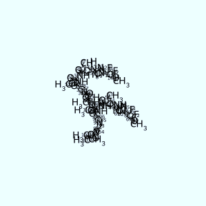 CCc1cc(Nc2nccn3c(-c4ccc(OC)c(F)c4F)cnc23)ccc1C(=O)NC[C@H](NC(=O)C1CCN(C(=O)OC(C)(C)C)CC1)C(=O)OC.CCc1cc(Nc2nccn3c(-c4ccc(OC)c(F)c4F)cnc23)ccc1C(=O)NC[C@H](NC(=O)C1CCN(CC2CN(C(=O)OC(C)(C)C)C2)CC1)C(=O)OC